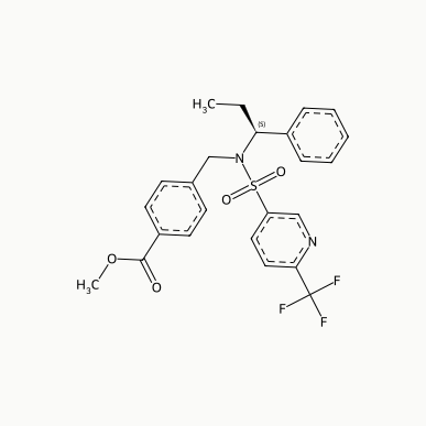 CC[C@@H](c1ccccc1)N(Cc1ccc(C(=O)OC)cc1)S(=O)(=O)c1ccc(C(F)(F)F)nc1